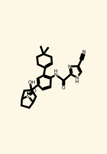 CC1(C)CC=C(c2cc(C3(O)CC4CCC(C3)S4(=O)=O)ccc2NC(=O)c2nc(C#N)c[nH]2)CC1